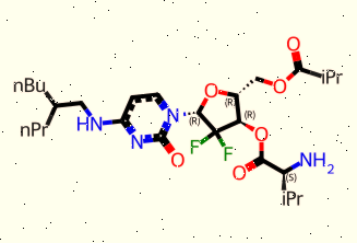 CCCCC(CCC)CNc1ccn([C@@H]2O[C@H](COC(=O)C(C)C)[C@@H](OC(=O)[C@@H](N)C(C)C)C2(F)F)c(=O)n1